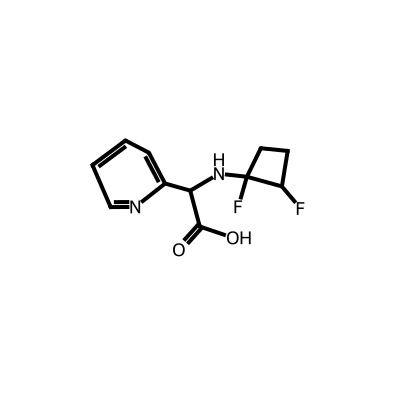 O=C(O)C(NC1(F)CCC1F)c1ccccn1